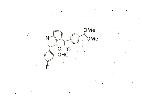 COC(OC)c1ccc(C(COC=O)c2cccc3c2C(=O)C(c2ccc(F)cc2)C=N3)cc1